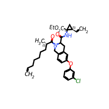 C=CCCCCC[C@H](C)C(=O)N1Cc2ccc(Oc3cccc(Cl)c3)cc2CC1C(=O)N[C@]1(C(=O)OCC)C[C@H]1C=C